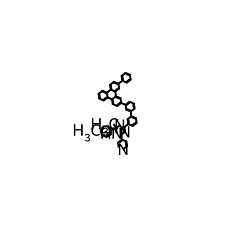 CC1=CC=C(C2(C)N=C(c3cccc(-c4cccc(-c5ccc6c7ccccc7c7ccc(-c8ccccc8)cc7c6c5)c4)c3)N=C(c3ccncc3)N2)C=CC1